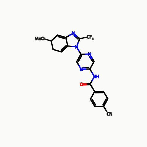 COC1C=c2nc(C(F)(F)F)n(-c3cnc(NC(=O)c4ccc(C#N)cc4)cn3)c2=CC1